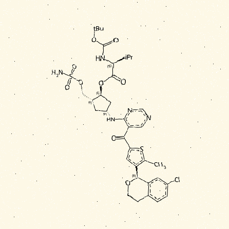 Cc1sc(C(=O)c2cncnc2N[C@@H]2C[C@H](COS(N)(=O)=O)[C@@H](OC(=O)[C@@H](NC(=O)OC(C)(C)C)C(C)C)C2)cc1[C@@H]1OCCc2ccc(Cl)cc21